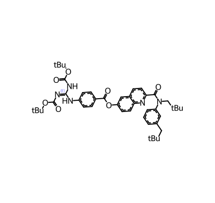 CC(C)(C)Cc1cccc(N(CC(C)(C)C)C(=O)c2ccc3cc(OC(=O)c4ccc(N/C(=N\C(=O)OC(C)(C)C)NC(=O)OC(C)(C)C)cc4)ccc3n2)c1